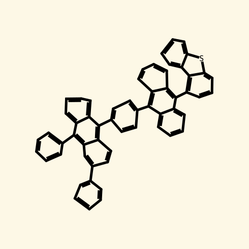 c1ccc(-c2ccc3c(-c4ccc(-c5c6ccccc6c(-c6cccc7sc8ccccc8c67)c6ccccc56)cc4)c4ccccc4c(-c4ccccc4)c3c2)cc1